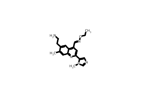 CCO/N=C/c1cc(-c2cncn2C)nc2cc(C)c(CCN)cc12